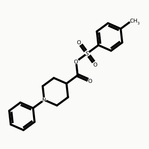 Cc1ccc(S(=O)(=O)OC(=O)C2CCN(c3ccccc3)CC2)cc1